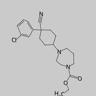 CCOC(=O)N1CCCN(C2CCC(C#N)(c3cccc(Cl)c3)CC2)CC1